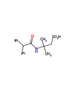 CC(C)C(C(=O)NC(C)(C)CS(=O)(=O)O)C(C)C